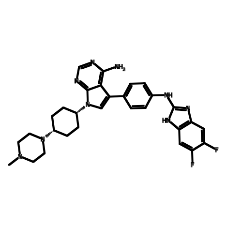 CN1CCN([C@H]2CC[C@@H](n3cc(-c4ccc(Nc5nc6cc(F)c(F)cc6[nH]5)cc4)c4c(N)ncnc43)CC2)CC1